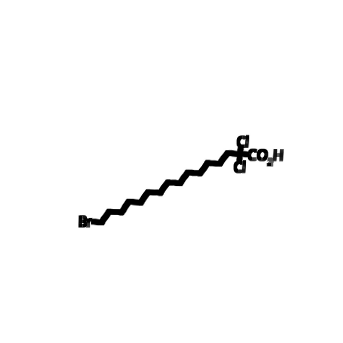 O=C(O)C(Cl)(Cl)CCCCCCCCCCCCCCBr